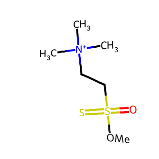 COS(=O)(=S)CC[N+](C)(C)C